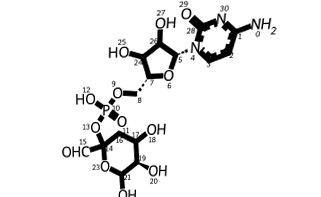 Nc1ccn([C@@H]2O[C@H](COP(=O)(O)OC3(C=O)CC(O)[C@@H](O)C(O)O3)C(O)C2O)c(=O)n1